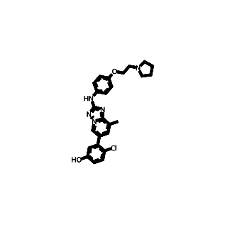 Cc1cc(-c2cc(O)ccc2Cl)cn2nc(Nc3ccc(OCCN4CCCC4)cc3)nc12